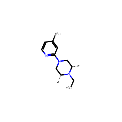 C[C@@H]1CN(c2cc(C(C)(C)C)ccn2)C[C@H](C)N1CC(C)(C)C